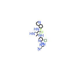 C=C(Nc1cnc(-n2ncc(CN(C)C)n2)c(Cl)c1)/C(C=N)=C(/Nc1cccc2ncccc12)C(F)(F)F